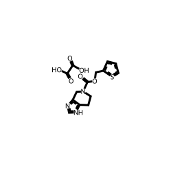 O=C(O)C(=O)O.O=C(OCc1cccs1)N1CCc2[nH]cnc2C1